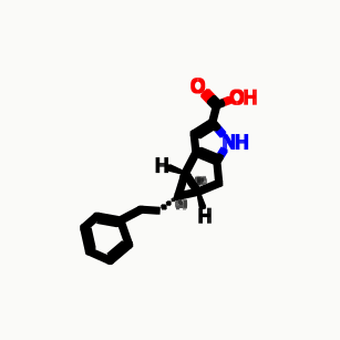 O=C(O)c1cc2c([nH]1)C[C@@H]1[C@H](CCc3ccccc3)[C@H]21